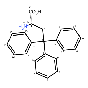 N[C@@H](CC(c1ccccc1)(c1ccccc1)c1ccccc1)C(=O)O